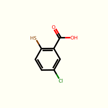 O=C(O)c1cc(Cl)ccc1S